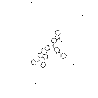 CC1(C)c2ccccc2-c2ccc(N(c3ccc(-c4ccccc4)cc3)c3ccc4c(c3)-c3cccc5c(N(c6ccccc6)c6ccccc6)ccc(c35)O4)cc21